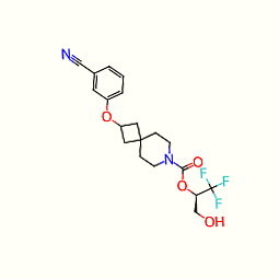 N#Cc1cccc(OC2CC3(CCN(C(=O)O[C@H](CO)C(F)(F)F)CC3)C2)c1